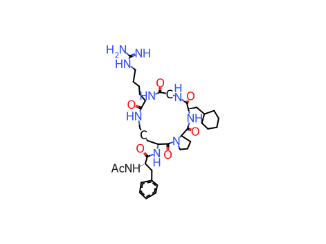 CC(=O)N[C@@H](Cc1ccccc1)C(=O)N[C@H]1CCCNC(=O)C(CCCCNC(=N)N)NC(=O)CNC(=O)[C@@H](CC2CCCCC2)NC(=O)C2CCCN2C1=O